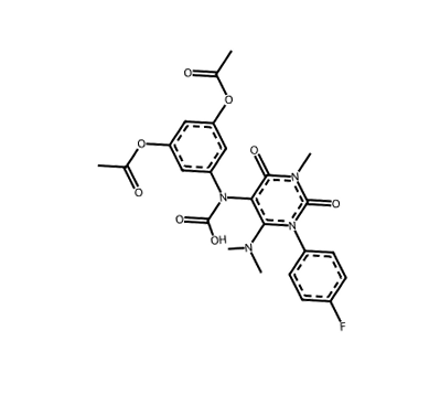 CC(=O)Oc1cc(OC(C)=O)cc(N(C(=O)O)c2c(N(C)C)n(-c3ccc(F)cc3)c(=O)n(C)c2=O)c1